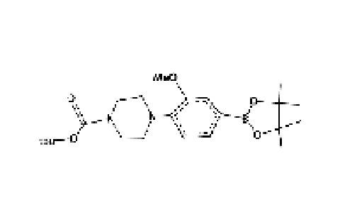 COc1cc(B2OC(C)(C)C(C)(C)O2)ccc1N1CCN(C(=O)OC(C)(C)C)CC1